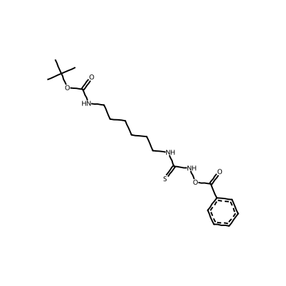 CC(C)(C)OC(=O)NCCCCCCNC(=S)NOC(=O)c1ccccc1